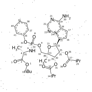 CCCCOC(=O)[C@H](C)N[P@](=O)(OC[C@@]1(C)O[C@@H](c2ccc3c(N)ncnn23)[C@H](OC(=O)C(C)C)[C@@H]1OC(=O)C(C)C)Oc1ccccc1